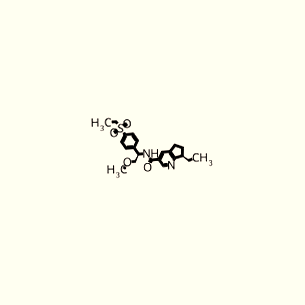 CC[C@@H]1CCc2cc(C(=O)N[C@@H](COC)c3ccc(S(=O)(=O)CC)cc3)cnc21